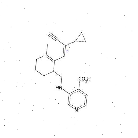 C#C/C(=C\C1=C(C)CCCC1CNc1cnccc1C(=O)O)C1CC1